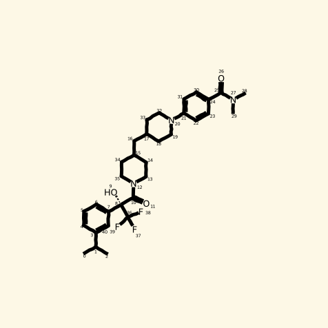 CC(C)c1cccc([C@@](O)(C(=O)N2CCC(CC3CCN(c4ccc(C(=O)N(C)C)cc4)CC3)CC2)C(F)(F)F)c1